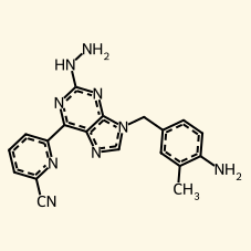 Cc1cc(Cn2cnc3c(-c4cccc(C#N)n4)nc(NN)nc32)ccc1N